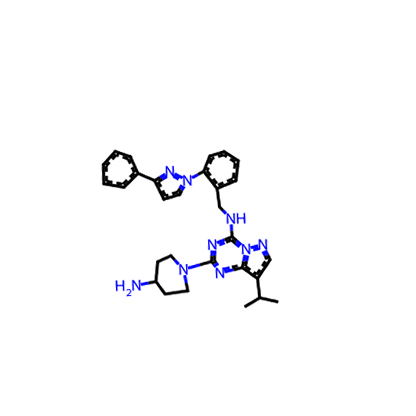 CC(C)c1cnn2c(NCc3ccccc3-n3ccc(-c4ccccc4)n3)nc(N3CCC(N)CC3)nc12